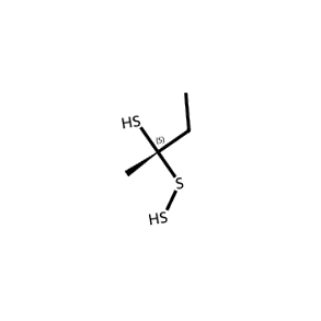 CC[C@@](C)(S)SS